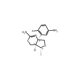 C[C@H]1OC[C@]2(c3cc(N)ccc3F)N=C(N)SC[C@H]12